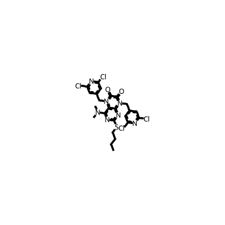 CCCCSc1nc(N(C)C)c2c(n1)n(Cc1cc(Cl)nc(Cl)c1)c(=O)c(=O)n2Cc1cc(Cl)nc(Cl)c1